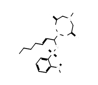 CCCC/C=C/C(NS(=O)(=O)c1ccccc1[N+](=O)[O-])B1OC(=O)CN(C)CC(=O)O1